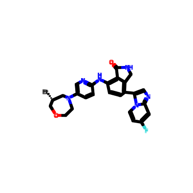 CC[C@H]1COCCN(c2ccc(Nc3ccc(-c4cnc5cc(F)ccn45)c4c3C(=O)NC4)nc2)C1